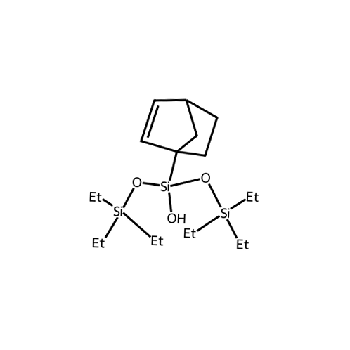 CC[Si](CC)(CC)O[Si](O)(O[Si](CC)(CC)CC)C12C=CC(CC1)C2